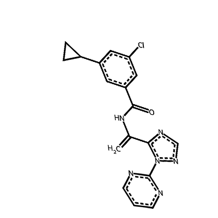 C=C(NC(=O)c1cc(Cl)cc(C2CC2)c1)c1ncnn1-c1ncccn1